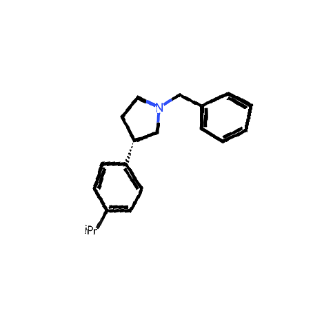 CC(C)c1ccc([C@@H]2CCN(Cc3ccccc3)C2)cc1